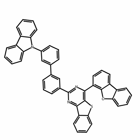 c1cc(-c2cccc(-n3c4ccccc4c4ccccc43)c2)cc(-c2nc(-c3cccc4c3oc3ccccc34)c3sc4ccccc4c3n2)c1